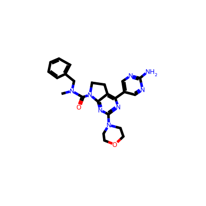 CN(Cc1ccccc1)C(=O)N1CCc2c(-c3cnc(N)nc3)nc(N3CCOCC3)nc21